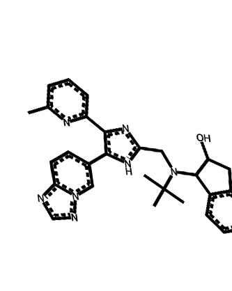 Cc1cccc(-c2nc(CN(C3c4ccccc4CC3O)C(C)(C)C)[nH]c2-c2ccc3ncnn3c2)n1